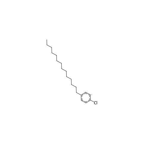 CCCCCCCCCCCCCCc1c[c]c(Cl)cc1